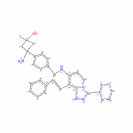 CC1(O)CC(N)(c2ccc(C3Nc4ccn5c(-c6ncccn6)nnc5c4C=C3c3ccccc3)cc2)C1